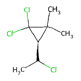 CC(Cl)[C@@H]1C(C)(C)C1(Cl)Cl